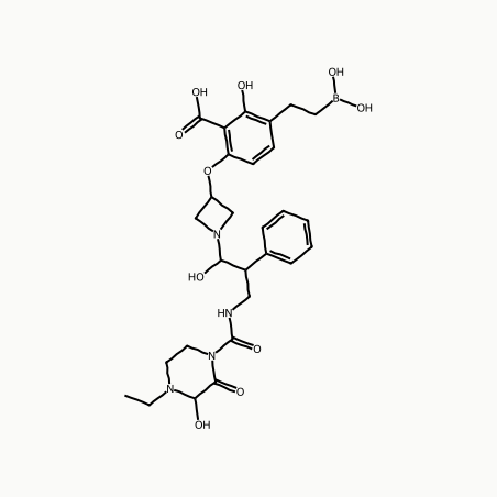 CCN1CCN(C(=O)NCC(c2ccccc2)C(O)N2CC(Oc3ccc(CCB(O)O)c(O)c3C(=O)O)C2)C(=O)C1O